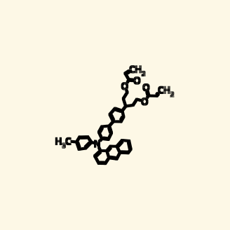 C=CC(=O)OCCC(CCOC(=O)C=C)c1ccc(-c2ccc(N(c3ccc(C)cc3)c3cccc4cc5ccccc5cc34)cc2)cc1